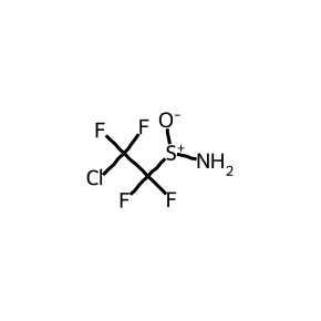 N[S+]([O-])C(F)(F)C(F)(F)Cl